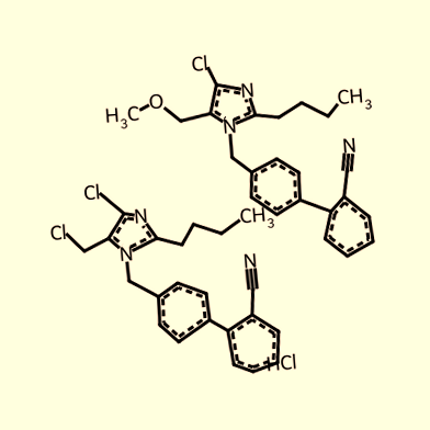 CCCCc1nc(Cl)c(CCl)n1Cc1ccc(-c2ccccc2C#N)cc1.CCCCc1nc(Cl)c(COC)n1Cc1ccc(-c2ccccc2C#N)cc1.Cl